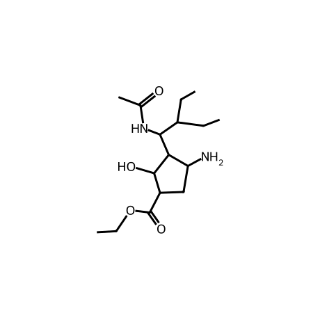 CCOC(=O)C1CC(N)C(C(NC(C)=O)C(CC)CC)C1O